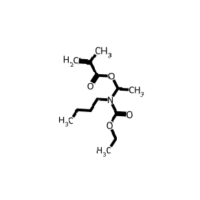 C=C(C)C(=O)OC(C)N(CCCC)C(=O)OCC